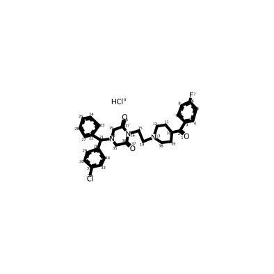 Cl.O=C(c1ccc(F)cc1)C1CCN(CCN2C(=O)CN(C(c3ccccc3)c3ccc(Cl)cc3)CC2=O)CC1